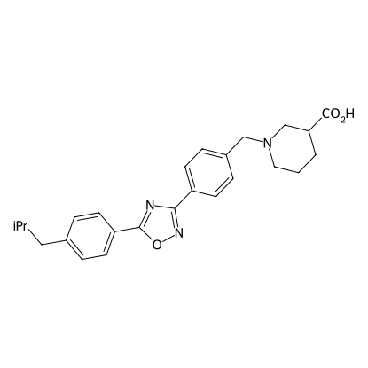 CC(C)Cc1ccc(-c2nc(-c3ccc(CN4CCCC(C(=O)O)C4)cc3)no2)cc1